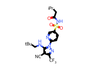 CC(C)CC(=O)NS(=O)(=O)c1ccc(-n2nc(C(F)(F)F)c(C#N)c2NCC(C)(C)C)nc1